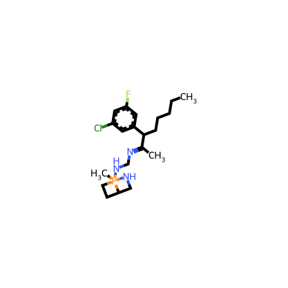 CCCCCC(/C(C)=N/CNP12(C)CCC1CN2)c1cc(F)cc(Cl)c1